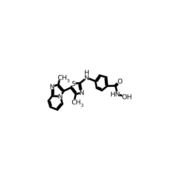 Cc1nc(Nc2ccc(C(=O)NO)cc2)sc1-c1c(C)nc2ccccn12